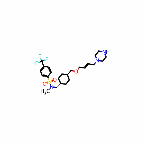 CN(C[C@H]1CC[C@H](COCC=CCN2CCNCC2)CC1)S(=O)(=O)c1ccc(C(F)(F)F)cc1